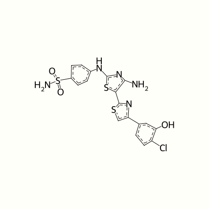 Nc1nc(Nc2ccc(S(N)(=O)=O)cc2)sc1-c1nc(-c2ccc(Cl)c(O)c2)cs1